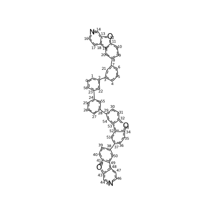 c1cc(-c2cccc(-c3ccc4oc5cnccc5c4c3)c2)cc(-c2cccc(-c3ccc4oc5ccc(-c6ccc7oc8cnccc8c7c6)cc5c4c3)c2)c1